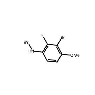 COc1ccc(NC(C)C)c(F)c1Br